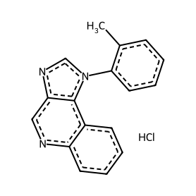 Cc1ccccc1-n1cnc2cnc3ccccc3c21.Cl